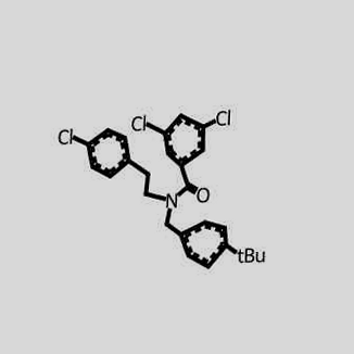 CC(C)(C)c1ccc(CN(CCc2ccc(Cl)cc2)C(=O)c2cc(Cl)cc(Cl)c2)cc1